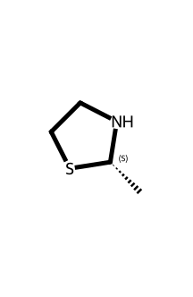 C[C@H]1NCCS1